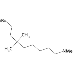 CCC(C)CCC(C)(C)CCCCCNC